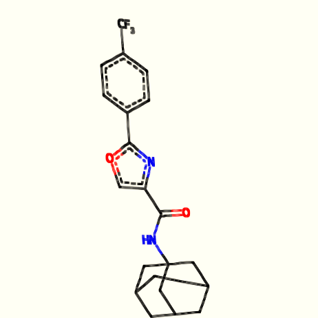 O=C(NC12CC3CC(CC(C3)C1)C2)c1coc(-c2ccc(C(F)(F)F)cc2)n1